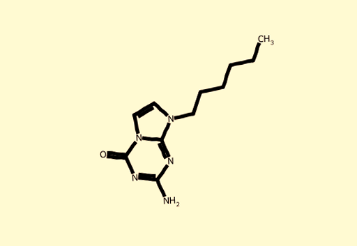 CCCCCCn1ccn2c(=O)nc(N)nc12